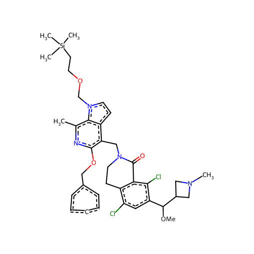 COC(c1cc(Cl)c2c(c1Cl)C(=O)N(Cc1c(OCc3ccccc3)nc(C)c3c1ccn3COCC[Si](C)(C)C)CC2)C1CN(C)C1